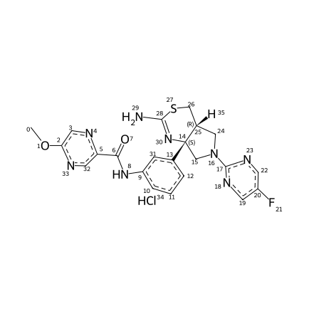 COc1cnc(C(=O)Nc2cccc([C@]34CN(c5ncc(F)cn5)C[C@H]3CSC(N)=N4)c2)cn1.Cl